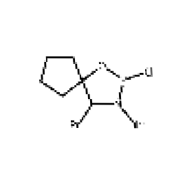 CC(C)C1N(C(C)C)P(Cl)OC12CCCC2